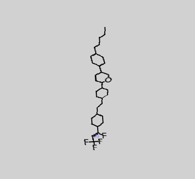 CCCCCC1CCC(C2CCC(C3CCC(CCC4CCC(/C(F)=C/C(F)(F)F)CC4)CC3)OC2)CC1